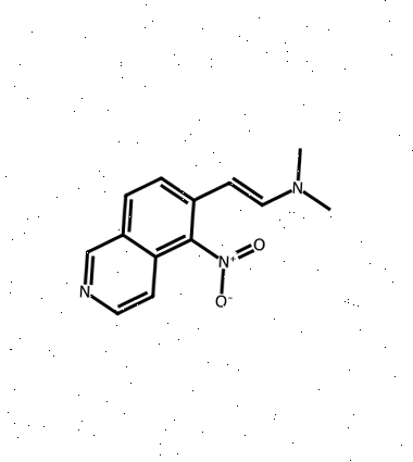 CN(C)C=Cc1ccc2cnccc2c1[N+](=O)[O-]